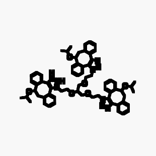 CC(C)OC1Cc2ccccc2C2=C(NNN2CCOC(COCCn2nnc3c2-c2ccccc2C(OC(C)C)Cc2ccccc2-3)COCCn2nnc3c2-c2ccccc2C(OC(C)C)Cc2ccccc2-3)c2ccccc21